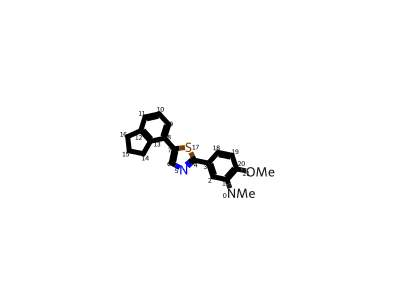 CNc1cc(-c2ncc(-c3cccc4c3CCC4)s2)ccc1OC